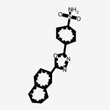 NS(=O)(=O)c1ccc(-c2nnc(-c3ccc4ccccc4c3)o2)cc1